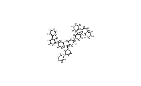 c1ccc(-c2cccc(N(c3ccc(-c4ccc(-c5cccc6ccccc56)c(-c5ccccc5)c4)cc3)c3ccc(-c4cccc5c4sc4ccccc45)cc3)c2)cc1